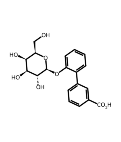 O=C(O)c1cccc(-c2ccccc2O[C@@H]2O[C@H](CO)[C@H](O)[C@H](O)[C@H]2O)c1